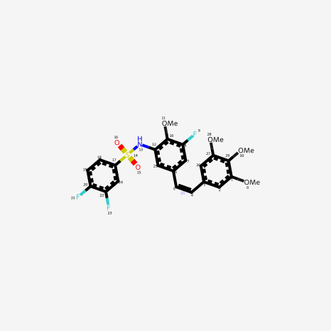 COc1cc(/C=C\c2cc(F)c(OC)c(NS(=O)(=O)c3ccc(F)c(F)c3)c2)cc(OC)c1OC